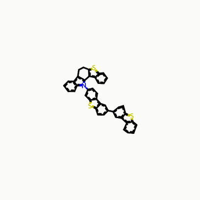 c1ccc2c3c(sc2c1)CCc1c-3n(-c2ccc3c(c2)sc2ccc(-c4ccc5sc6ccccc6c5c4)cc23)c2ccccc12